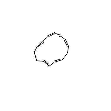 C1=C\C/C=C\C/C=C/C=C/CC/C=C/1